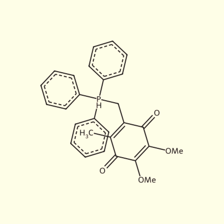 COC1=C(OC)C(=O)C(C[PH](c2ccccc2)(c2ccccc2)c2ccccc2)=C(C)C1=O